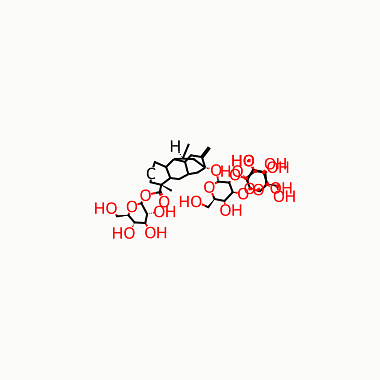 C=C1CC2C3CC4C(CCC[C@@]4(C)C(=O)O[C@@H]4O[C@H](CO)[C@@H](O)[C@H](O)[C@H]4O)C2[C@@H](C)C[C@]1(O[C@@H]1O[C@H](CO)[C@@H](O)[C@H](O[C@@H]2O[C@H](CO)[C@@H](O)[C@H](O)[C@H]2O)[C@H]1O[C@@H]1OC[C@@H](O)[C@H](O)[C@H]1O)C3